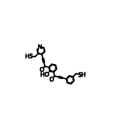 O=C(C#Cc1cccc(CS)c1)c1cccc(C(=O)C#Cc2ccncc2CS)c1O